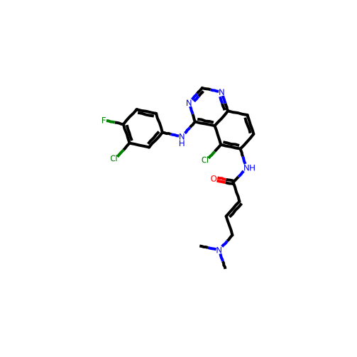 CN(C)C/C=C/C(=O)Nc1ccc2ncnc(Nc3ccc(F)c(Cl)c3)c2c1Cl